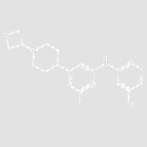 Cc1cc(C2CCN(C3COC3)CC2)cc(Nc2cc(C(C)C)ccn2)n1